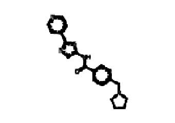 O=C(Nc1cnc(-c2ccncc2)s1)c1ccc(CN2CCCC2)cc1